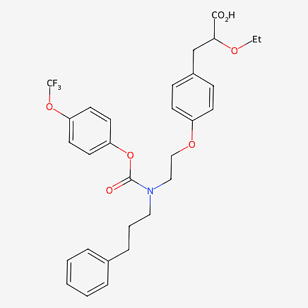 CCOC(Cc1ccc(OCCN(CCCc2ccccc2)C(=O)Oc2ccc(OC(F)(F)F)cc2)cc1)C(=O)O